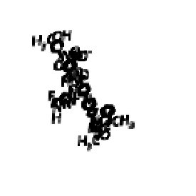 CC(=O)N1CCN(C2CC3(CCN(c4ccc(C(=O)NS(=O)(=O)c5cc6c(c([N+](=O)[O-])c5)N[C@@H]([C@H]5CC[C@](C)(O)CC5)CO6)c(Oc5cc6c(F)c[nH]c6nc5F)c4)CC3)C2)[C@@H](c2ccccc2C(C)C)C1